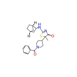 CC1(C2CCN(C(=O)c3ccccc3)CC2)SC(N[C@H]2C[C@@H]3CC[C@H]2C3)=NC1=O